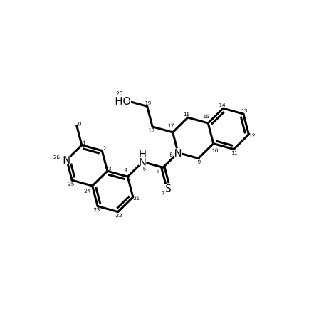 Cc1cc2c(NC(=S)N3Cc4ccccc4CC3CCO)cccc2cn1